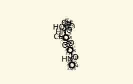 C[C@@](O)(C(=O)Nc1ccc(S(=O)(=O)c2ccc(C(=O)Nc3ccccc3)cc2)cc1Cl)C(F)(F)F